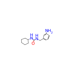 Nc1cccc(CNC(=O)NC2CCCCC2)c1